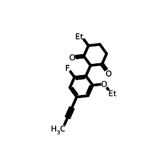 CC#Cc1cc(F)c(C2C(=O)CCC(CC)C2=O)c(OCC)c1